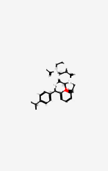 CC(=O)N1CCOC(C(=O)N2CC(F)CC2C(=O)NC(c2ccccc2)c2ccc(C(C)C)cc2)C1